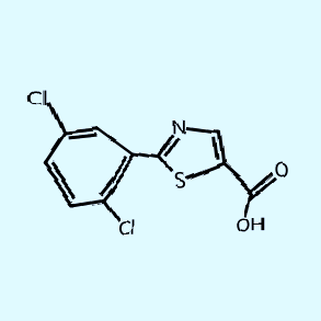 O=C(O)c1cnc(-c2cc(Cl)ccc2Cl)s1